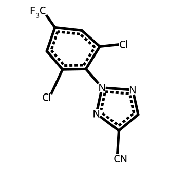 N#Cc1cnn(-c2c(Cl)cc(C(F)(F)F)cc2Cl)n1